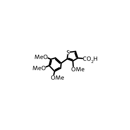 COc1cc(-c2scc(C(=O)O)c2OC)cc(OC)c1OC